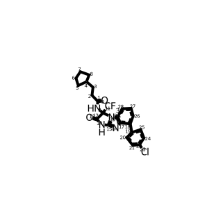 O=C(CCC1CCCC1)NC1(C(F)(F)F)C(=O)Nc2nc3c(-c4ccc(Cl)cc4)cccc3n21